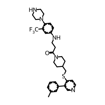 Cc1cccc(-c2cnccc2SCC2CCN(C(=O)CCNc3ccc(N4CCNCC4)c(C(F)(F)F)c3)CC2)c1